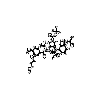 COCCCOc1cc(C(=O)N(C[C@@H]2CN(C(=O)OC(C)(C)C)C[C@H]2N(c2cccc(NC(C)=O)c2)S(C)(=O)=O)C(C)C)ccc1OC